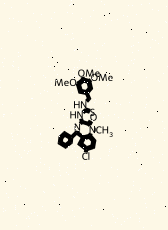 COc1cc(CNC(=S)NC2N=C(c3ccccc3)c3cc(Cl)ccc3N(C)C2=O)cc(OC)c1OC